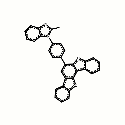 Cc1nc2ccccc2n1-c1ccc(-c2cc3c4ccccc4oc3c3c2oc2ccccc23)cc1